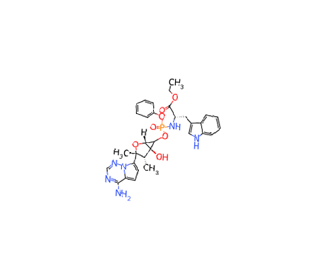 CCOC(=O)[C@H](Cc1c[nH]c2ccccc12)NP(=O)(Oc1ccccc1)OC1[C@H]2O[C@@](C)(c3ccc4c(N)ncnn34)[C@@H](C)[C@@]12O